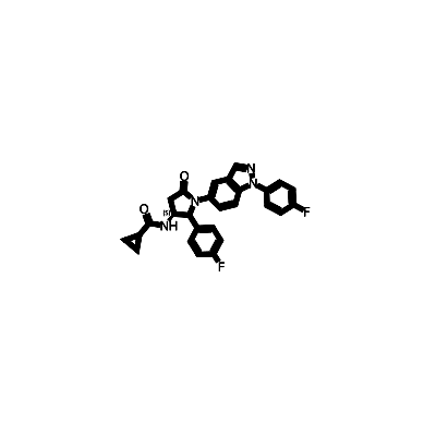 O=C(N[C@H]1CC(=O)N(c2ccc3c(cnn3-c3ccc(F)cc3)c2)C1c1ccc(F)cc1)C1CC1